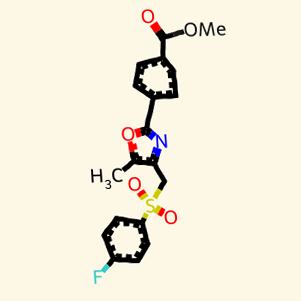 COC(=O)c1ccc(-c2nc(CS(=O)(=O)c3ccc(F)cc3)c(C)o2)cc1